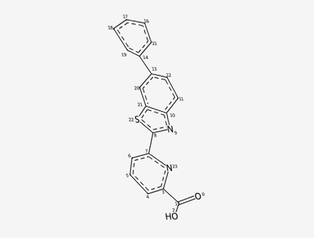 O=C(O)c1cccc(-c2nc3ccc(-c4ccccc4)cc3s2)n1